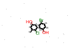 Cc1cc(O)ccc1Cl.Oc1ccc(Br)cc1